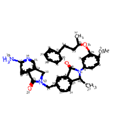 COc1ccc(N2C(=O)c3cc(CN4Cc5cnc(N)cc5C4=O)ccc3C2C)cc1OC(C)CCc1ccccc1